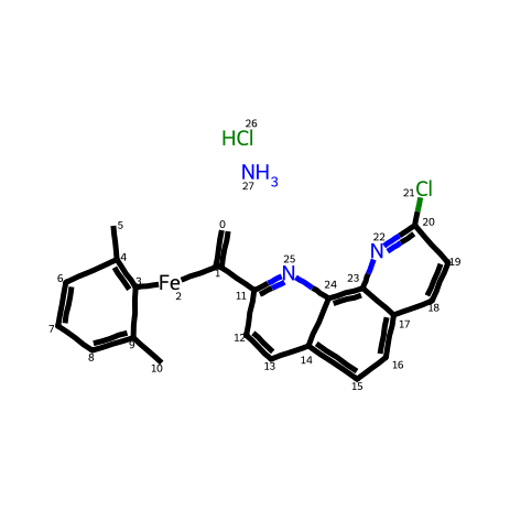 C=[C]([Fe][c]1c(C)cccc1C)c1ccc2ccc3ccc(Cl)nc3c2n1.Cl.N